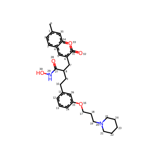 Cc1ccc2cc(CC(CCc3cccc(OCCCN4CCCCC4)c3)C(=O)NO)c(=O)oc2c1